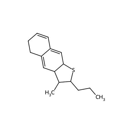 CCCC1SC2C=C3C=CCCC3=CC2C1C